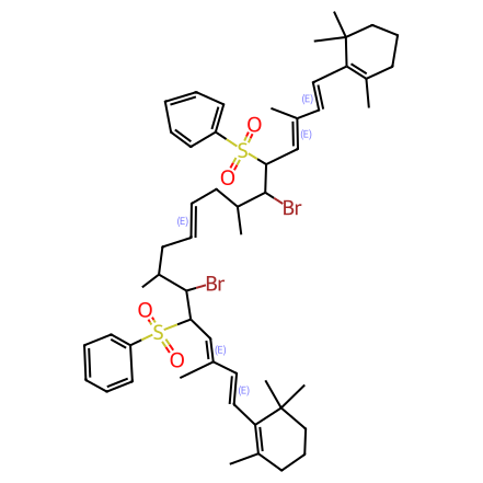 CC1=C(/C=C/C(C)=C/C(C(Br)C(C)C/C=C/CC(C)C(Br)C(/C=C(C)/C=C/C2=C(C)CCCC2(C)C)S(=O)(=O)c2ccccc2)S(=O)(=O)c2ccccc2)C(C)(C)CCC1